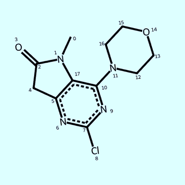 CN1C(=O)Cc2nc(Cl)nc(N3CCOCC3)c21